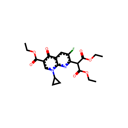 CCOC(=O)c1cn(C2CC2)c2nc(C(C(=O)OCC)C(=O)OCC)c(F)cc2c1=O